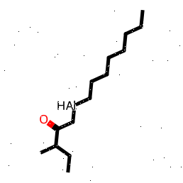 CCCCCCC[CH2][AlH][CH2]C(=O)C(C)CC